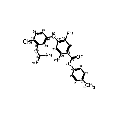 Cc1ccc(OC(=O)c2cc(F)c(Oc3ccc(Cl)c(OC(F)F)c3)cc2F)cc1